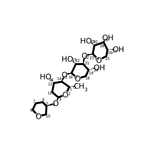 C[C@@H]1O[C@@H](O[C@@H]2CCCOC2)C[C@H](O)[C@H]1O[C@@H]1OC[C@@H](O)[C@H](O[C@@H]2OC[C@@H](O)[C@H](O)[C@H]2O)[C@H]1O